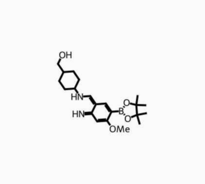 COC1=CC(=N)/C(=C\NC2CCC(CO)CC2)C=C1B1OC(C)(C)C(C)(C)O1